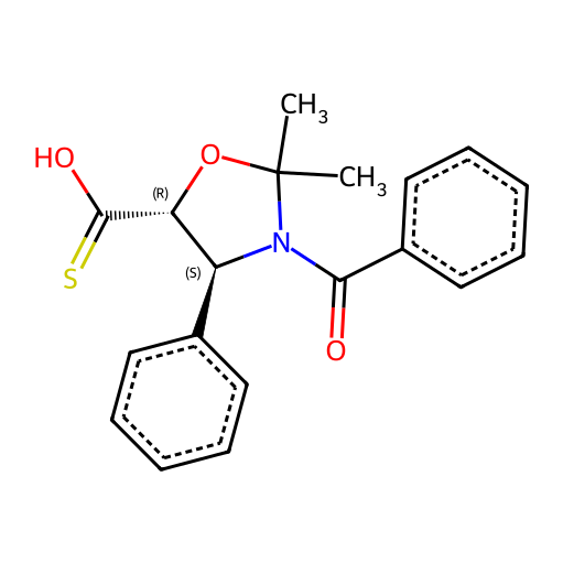 CC1(C)O[C@@H](C(O)=S)[C@H](c2ccccc2)N1C(=O)c1ccccc1